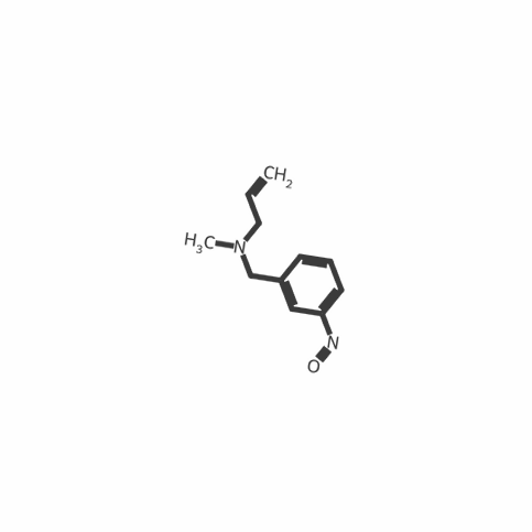 C=CCN(C)Cc1cccc(N=O)c1